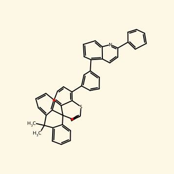 CC1(C)c2ccccc2C2(c3ccccc3Sc3c(-c4cccc(-c5cccc6nc(-c7ccccc7)ccc56)c4)cccc32)c2ccccc21